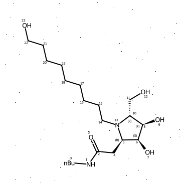 CCCCNC(=O)C[C@@H]1[C@H](O)[C@H](O)[C@@H](CO)N1CCCCCCCCCO